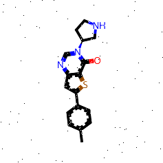 Cc1ccc(-c2cc3ncn([C@H]4CCNC4)c(=O)c3s2)cc1